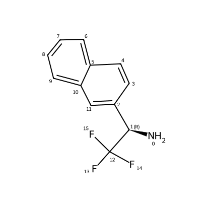 N[C@H](c1ccc2ccccc2c1)C(F)(F)F